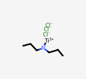 CCC[N]([Ti+3])CCC.[Cl-].[Cl-].[Cl-]